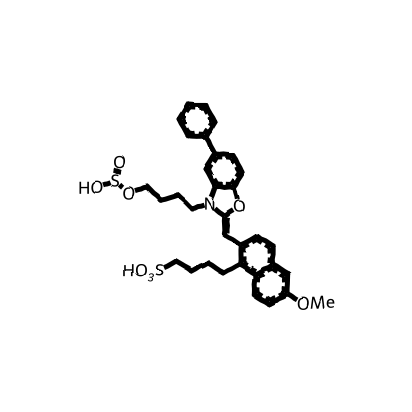 COc1ccc2c(CCCCS(=O)(=O)O)c(/C=C3\Oc4ccc(-c5ccccc5)cc4N3CCCCOS(=O)O)ccc2c1